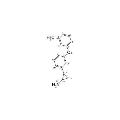 Cc1cccc(Oc2cccc(C3CC3N)c2)c1